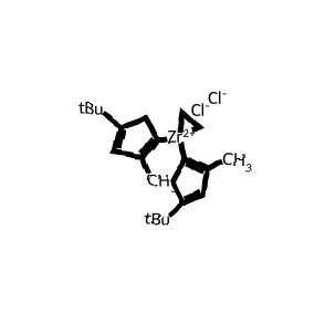 CC1=[C]([Zr+2]2([C]3=C(C)C=C(C(C)(C)C)C3)[CH2][CH2]2)CC(C(C)(C)C)=C1.[Cl-].[Cl-]